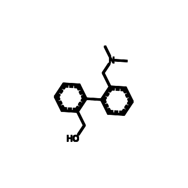 CN(C)Cc1ccccc1-c1ccccc1CO